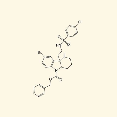 C=C1CCCC2N(C(=O)OCc3ccccc3)c3ccc(Br)cc3C12CCNS(=O)(=O)c1ccc(Cl)cc1